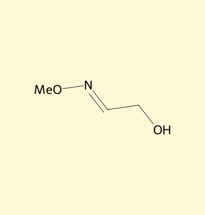 CON=CCO